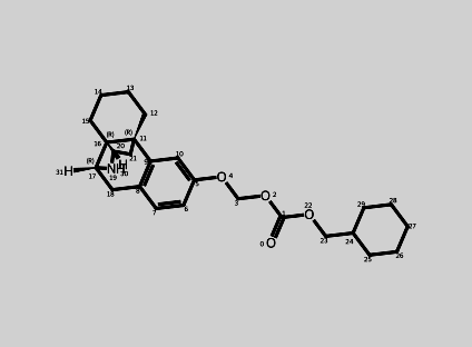 O=C(OCOc1ccc2c(c1)[C@@]13CCCC[C@H]1[C@@H](C2)NCC3)OCC1CCCCC1